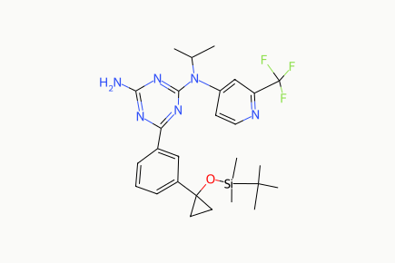 CC(C)N(c1ccnc(C(F)(F)F)c1)c1nc(N)nc(-c2cccc(C3(O[Si](C)(C)C(C)(C)C)CC3)c2)n1